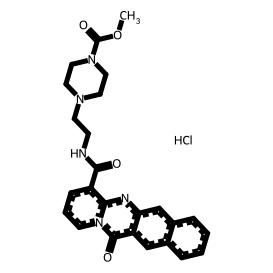 COC(=O)N1CCN(CCNC(=O)c2cccn3c(=O)c4cc5ccccc5cc4nc23)CC1.Cl